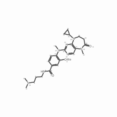 COc1cc(C(=O)NCCCN(C)C)ccc1N(C)c1ncc2c(n1)N(C1CC1)CCC(=O)N2C